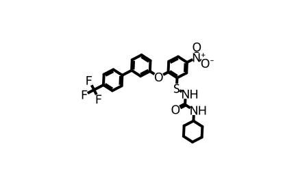 O=C(NSc1cc([N+](=O)[O-])ccc1Oc1cccc(-c2ccc(C(F)(F)F)cc2)c1)NC1CCCCC1